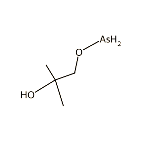 CC(C)(O)CO[AsH2]